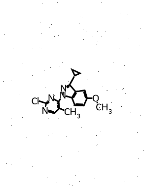 COc1ccc2c(c1)c(C1CC1)nn2-c1nc(Cl)ncc1C